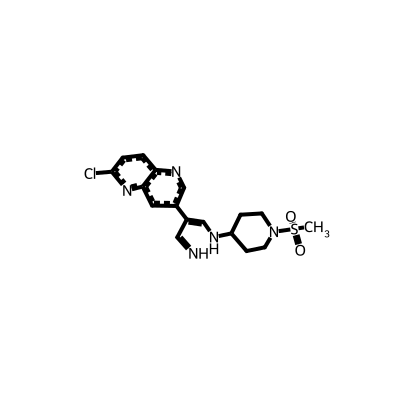 CS(=O)(=O)N1CCC(N/C=C(\C=N)c2cnc3ccc(Cl)nc3c2)CC1